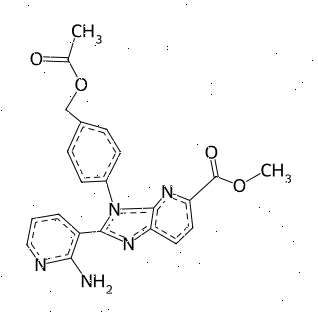 COC(=O)c1ccc2nc(-c3cccnc3N)n(-c3ccc(COC(C)=O)cc3)c2n1